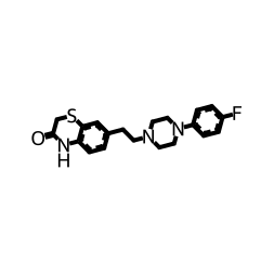 O=C1CSc2cc(CCN3CCN(c4ccc(F)cc4)CC3)ccc2N1